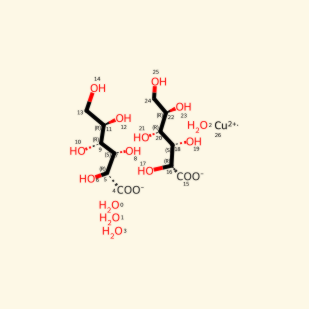 O.O.O.O.O=C([O-])[C@H](O)[C@@H](O)[C@H](O)[C@H](O)CO.O=C([O-])[C@H](O)[C@@H](O)[C@H](O)[C@H](O)CO.[Cu+2]